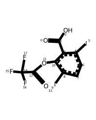 O=C(O)c1c(I)ccc(I)c1OC(=O)C(F)(F)F